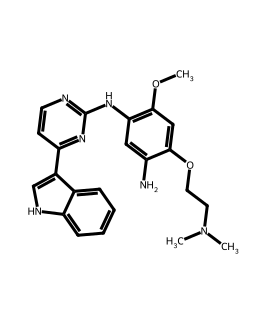 COc1cc(OCCN(C)C)c(N)cc1Nc1nccc(-c2c[nH]c3ccccc23)n1